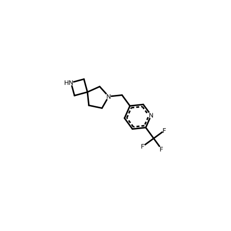 FC(F)(F)c1ccc(CN2CCC3(CNC3)C2)cn1